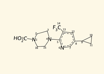 O=C(O)N1CCN(c2ncc(C3CC3)cc2C(F)(F)F)CC1